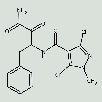 Cn1nc(Cl)c(C(=O)NC(Cc2ccccc2)C(=O)C(N)=O)c1Cl